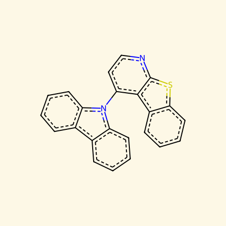 c1ccc2c(c1)sc1nccc(-n3c4ccccc4c4ccccc43)c12